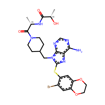 C[C@H](O)C(=O)N[C@@H](C)C(=O)N1CCC(Cn2c(Sc3cc4c(cc3Br)OCCO4)nc3c(N)ncnc32)CC1